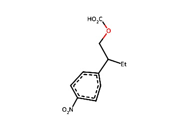 CCC(COC(=O)O)c1ccc([N+](=O)[O-])cc1